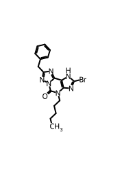 CCCCCn1c(=O)n2nc(Cc3ccccc3)nc2c2[nH]c(Br)nc21